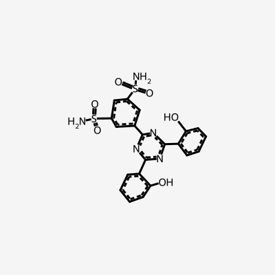 NS(=O)(=O)c1cc(-c2nc(-c3ccccc3O)nc(-c3ccccc3O)n2)cc(S(N)(=O)=O)c1